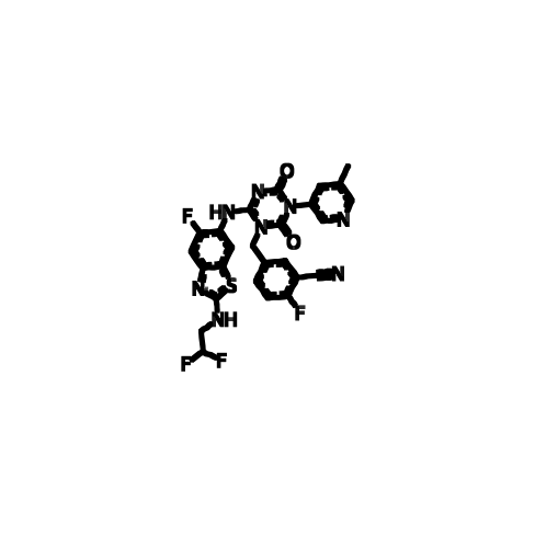 Cc1cncc(-n2c(=O)nc(Nc3cc4sc(NCC(F)F)nc4cc3F)n(Cc3ccc(F)c(C#N)c3)c2=O)c1